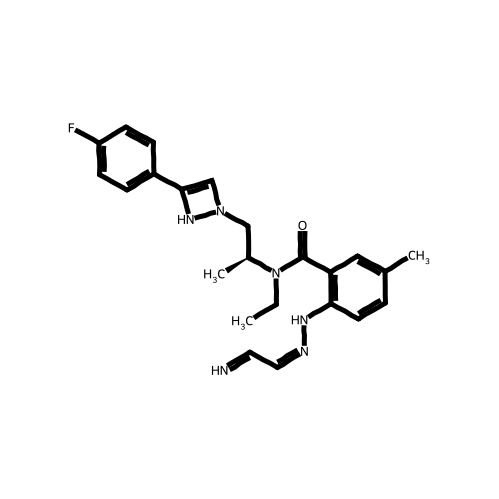 CCN(C(=O)c1cc(C)ccc1N/N=C\C=N)[C@@H](C)Cn1cc(-c2ccc(F)cc2)[nH]1